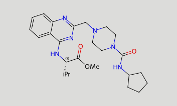 COC(=O)[C@@H](Nc1nc(CN2CCN(C(=O)NC3CCCC3)CC2)nc2ccccc12)C(C)C